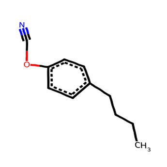 CCCCc1ccc(OC#N)cc1